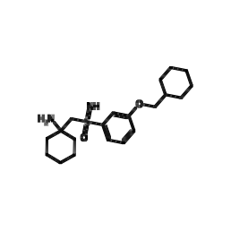 N=S(=O)(CC1(N)CCCCC1)c1cccc(OCC2CCCCC2)c1